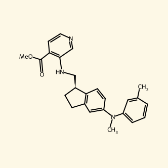 COC(=O)c1ccncc1NC[C@@H]1CCc2cc(N(C)c3cccc(C)c3)ccc21